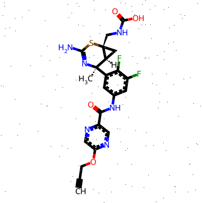 C#CCOc1cnc(C(=O)Nc2cc(F)c(F)c([C@@]3(C)N=C(N)S[C@]4(CNC(=O)O)C[C@H]43)c2)cn1